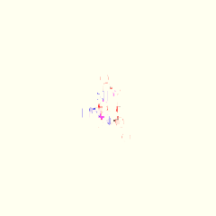 COCCCO[C@@H](c1ccccc1)[C@@H]1CCN(C(=O)C(=O)N[C@@H](CC2CCCCC2)[C@H](O)CNCc2cc(OC)cc(OC)c2)C1